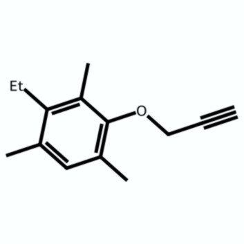 C#CCOc1c(C)cc(C)c(CC)c1C